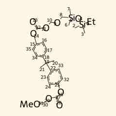 CC[Si](C)(C)O[Si](C)(C)COCOC(=O)Oc1ccc(C(C)(C)c2ccc(OC(=O)OCOC)cc2)cc1